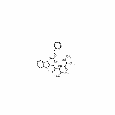 CNC(C)C(=O)NC(C(=O)[C@@H](NC(=O)OCc1ccccc1)C1Cc2cccnc2N1)C(C)C